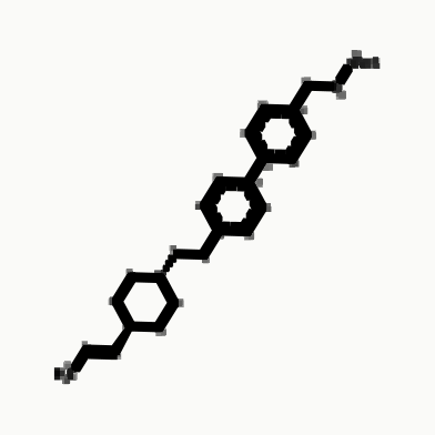 CC=C[C@H]1CC[C@H](CCc2ccc(-c3ccc(COCCCCC)cc3)cc2)CC1